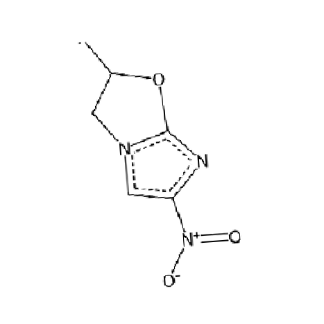 [CH2]C1Cn2cc([N+](=O)[O-])nc2O1